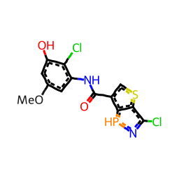 COc1cc(O)c(Cl)c(NC(=O)c2csc3c(Cl)n[pH]c23)c1